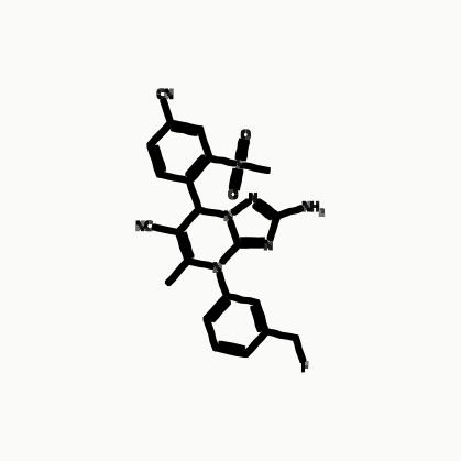 CC1=C(C#N)C(c2ccc(C#N)cc2S(C)(=O)=O)n2nc(N)nc2N1c1cccc(CF)c1